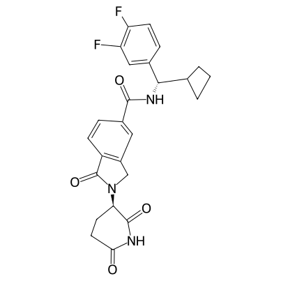 O=C1CC[C@@H](N2Cc3cc(C(=O)N[C@H](c4ccc(F)c(F)c4)C4CCC4)ccc3C2=O)C(=O)N1